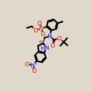 CCOS(=O)(=O)c1ccc(C)cc1N(C[C@@H]1Cc2cc([N+](=O)[O-])ccc2N1)C(=O)OC(C)(C)C